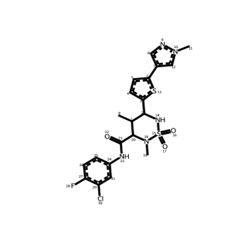 CC1C(c2ccc(-c3cnn(C)c3)s2)NS(=O)(=O)N(C)C1C(=O)Nc1ccc(F)c(Cl)c1